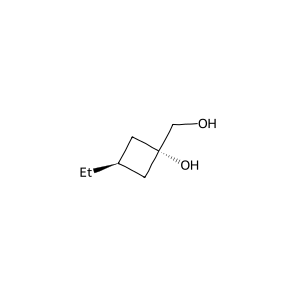 CC[C@H]1C[C@@](O)(CO)C1